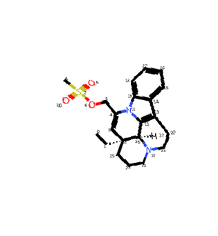 CC[C@@]12C=C(COS(C)(=O)=O)n3c4c(c5ccccc53)CCN(CCC1)[C@H]42